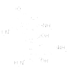 COc1cc(CCN)c(-c2ccc(-c3cc(CCN)c(O)c(CCN)c3)c(O)c2)c(CCN)c1